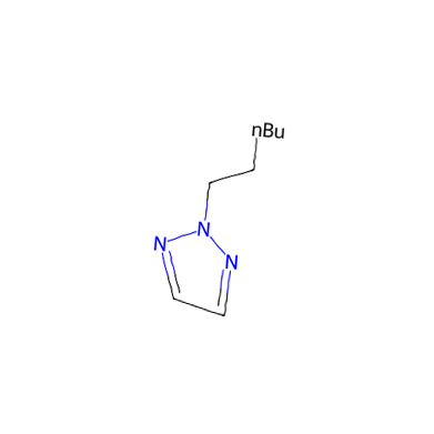 CCCCCCn1nccn1